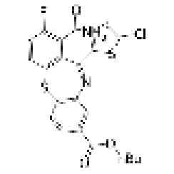 CCCCOC(=O)c1ccc2c(c1)N=C(c1ccc(Cl)s1)c1c(ccc(F)c1C(N)=O)S2